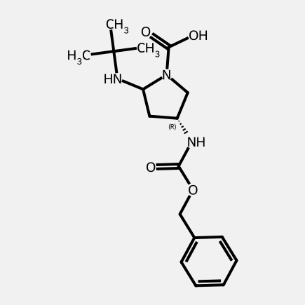 CC(C)(C)NC1C[C@@H](NC(=O)OCc2ccccc2)CN1C(=O)O